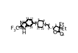 CCC1(CC)C[C@@H](CCN2CCN(c3ccc4nc(C(F)(F)F)[nH]c4c3)CC2)OC1=O